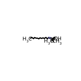 CCCCCCCCCCCCC/C=C/C[C@H](CO)N(C)C